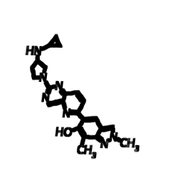 Cc1c(O)c(-c2ccc3nc(N4CCC(NC5CC5)C4)ncc3n2)cc2cn(C)nc12